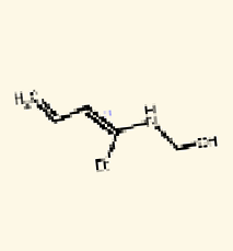 C=C/C=C(\CC)NCO